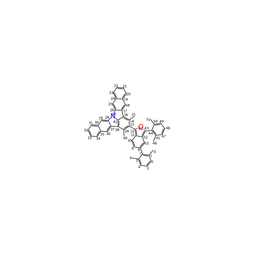 Cc1cccc(C)c1-c1ccc2c(-c3c(C)c4c5cc6ccccc6cc5n5c6cc7ccccc7cc6c(c3C)c45)oc(-c3c(C)cccc3C)c2c1